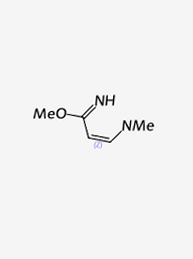 CN/C=C\C(=N)OC